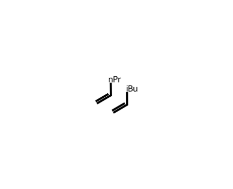 C=CC(C)CC.C=CCCC